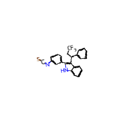 FC(F)(F)CC(c1ccccc1)c1c(-c2cccc(N=C=S)c2)[nH]c2ccccc12